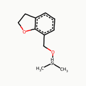 C[SiH](C)OCc1cccc2c1OCC2